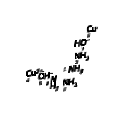 N.N.N.N.[Cu+2].[Cu].[OH-].[OH-]